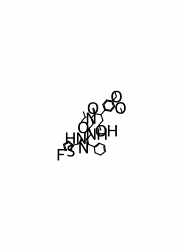 COc1ccc(C(CCO)C(=O)N(CC(=O)Nc2[nH]c(-c3ccc(F)s3)nc2C2=CC=CCC2)C(C)C)cc1OC